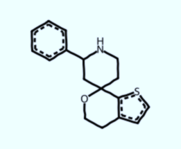 c1ccc(C2CC3(CCN2)OCCc2ccsc23)cc1